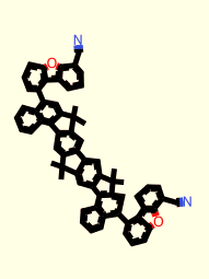 CC1(C)c2cc3c(cc2-c2cc4c(cc21)-c1c(cc(-c2cccc5oc6c(C#N)cccc6c25)c2ccccc12)C4(C)C)C(C)(C)c1cc(-c2cccc4oc5c(C#N)cccc5c24)c2ccccc2c1-3